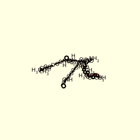 CC(C)[C@H](NC(=O)C(CCCCNC(=O)COC1CCCCC/C(NCCOCCOCCOCCOCCC(=O)NCC[N+](C)(C)C)=C\1N)NC(=O)CCOCCOCCOCCOCCNC(=O)COC1C#CCCCCC1)C(=O)N[C@@H](CCCNC(N)=O)C(=O)Nc1ccc2c(c1)[C@@]1(C)CCC[C@](C)(C(=O)NC(=O)[C@@]3(C)CCC[C@]4(C)c5cc(O)ccc5CC[C@@H]34)[C@@H]1CC2